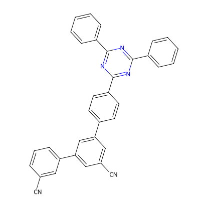 N#Cc1cccc(-c2cc(C#N)cc(-c3ccc(-c4nc(-c5ccccc5)nc(-c5ccccc5)n4)cc3)c2)c1